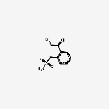 C=C(CBr)c1ccccc1CS(N)(=O)=O